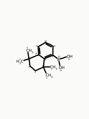 CC1(C)CCC(C)(C)c2c(B(O)O)cccc21